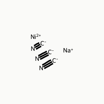 [C-]#N.[C-]#N.[C-]#N.[Na+].[Ni+2]